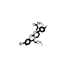 CC[C@@H](c1ccc(Br)cc1)N1CC[C@@](CCC(N)=O)(c2ccc(F)cc2)OC1=O